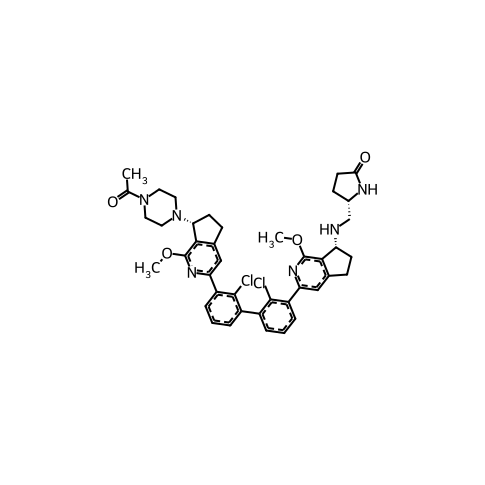 COc1nc(-c2cccc(-c3cccc(-c4cc5c(c(OC)n4)[C@H](NC[C@@H]4CCC(=O)N4)CC5)c3Cl)c2Cl)cc2c1[C@H](N1CCN(C(C)=O)CC1)CC2